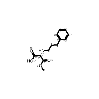 COC(=O)[C@@H](NCCCc1ccccc1)C(=O)O